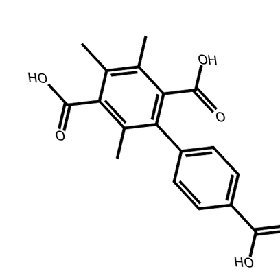 Cc1c(C)c(C(=O)O)c(-c2ccc(C(=O)O)cc2)c(C)c1C(=O)O